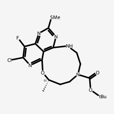 CSc1nc2c3c(nc(Cl)c(F)c3n1)O[C@@H](C)CCN(C(=O)OC(C)(C)C)CCN2